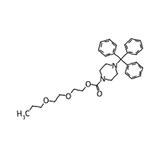 CCCOCCOCCOC(=O)N1CCN(C(c2ccccc2)(c2ccccc2)c2ccccc2)CC1